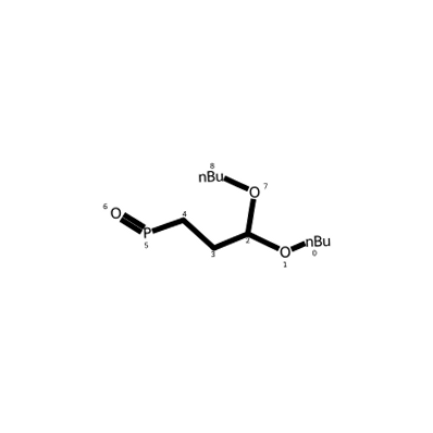 CCCCOC(CCP=O)OCCCC